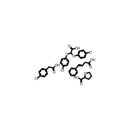 O=C(O)C(Oc1ccc(Cl)cc1)Oc1ccc(Cl)cc1.O=C(O)C/C=C/c1ccccc1.O=C(O)C1CCCO1.O=C(O)Cc1ccc(Cl)cc1